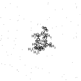 CCn1nc(C)cc1C(=O)Nc1nc2cc(C(N)=O)cc(OC)c2n1C/C=C/Cn1c(NC(=O)c2cc(C)nn2CC)nc2cc(C(N)=O)cc(OCCCN(C)C(=O)[C@H](CC(=O)O)NC(=O)CCN3C(=O)C=CC3=O)c21